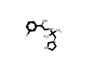 CC(C)(C[C@H]1CCNC1)NC[C@H](O)c1cccc(F)c1